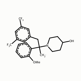 [CH2]C(Cc1cc(C(F)(F)F)cc(C(F)(F)F)c1)(c1ccccc1OC)N1CCC(O)CC1